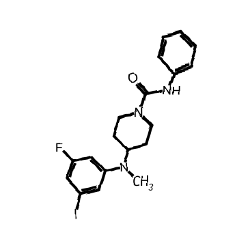 CN(c1cc(F)cc(I)c1)C1CCN(C(=O)Nc2ccccc2)CC1